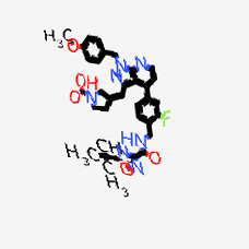 COc1ccc(Cn2nc(/C=C3/CCN(C(=O)O)C3)c3c(-c4ccc(CNC(=O)c5noc(C(C)(C)C)n5)c(F)c4)ccnc32)cc1